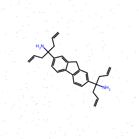 C=CCC(N)(CC=C)c1ccc2c(c1)Cc1cc(C(N)(CC=C)CC=C)ccc1-2